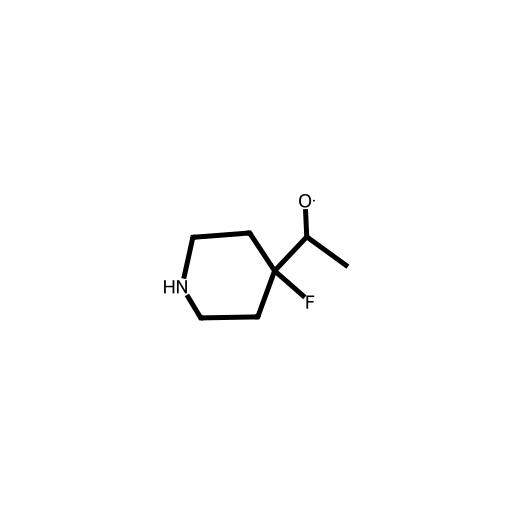 CC([O])C1(F)CCNCC1